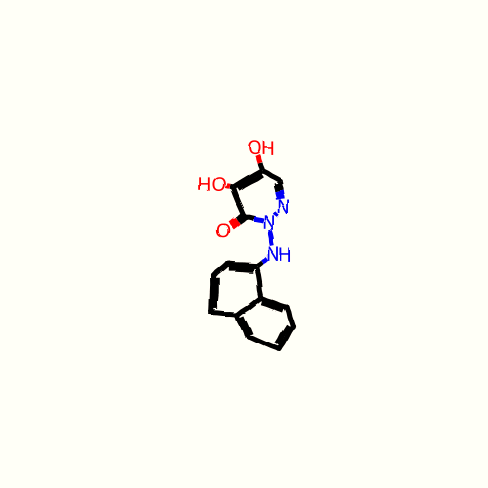 O=c1c(O)c(O)cnn1Nc1cccc2ccccc12